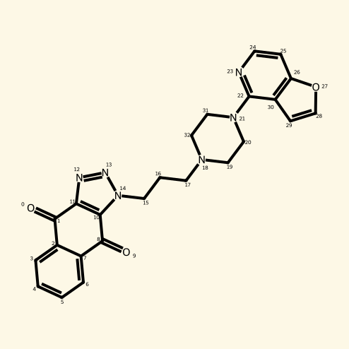 O=C1c2ccccc2C(=O)c2c1nnn2CCCN1CCN(c2nccc3occc23)CC1